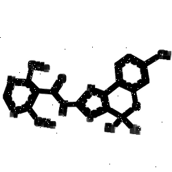 CCC1(CC)Oc2cc(C#N)ccc2-c2nc(NC(=O)c3c(OC)ncnc3OC)sc21